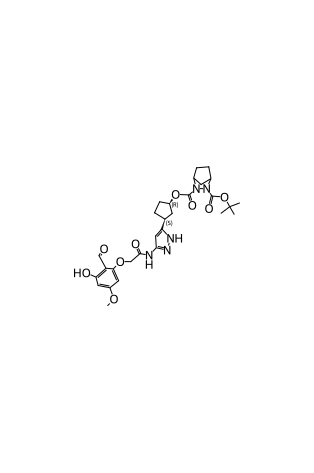 COc1cc(O)c(C=O)c(OCC(=O)Nc2cc([C@H]3CC[C@@H](OC(=O)N4C5CCC(C5)N4C(=O)OC(C)(C)C)C3)[nH]n2)c1